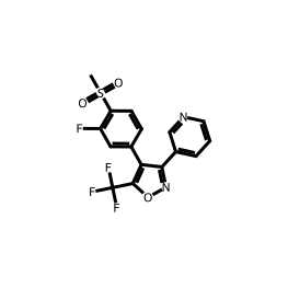 CS(=O)(=O)c1ccc(-c2c(-c3cccnc3)noc2C(F)(F)F)cc1F